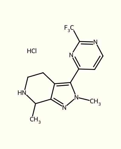 CC1NCCc2c1nn(C)c2-c1ccnc(C(F)(F)F)n1.Cl